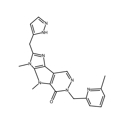 Cc1cccc(Cn2ncc3c4nc(Cc5ccn[nH]5)n(C)c4n(C)c3c2=O)n1